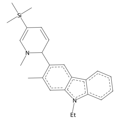 CCn1c2ccccc2c2cc(C3C=CC([Si](C)(C)C)=CN3C)c(C)cc21